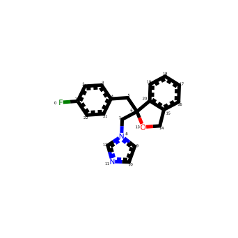 Fc1ccc(CC2(Cn3ccnc3)OCc3ccccc32)cc1